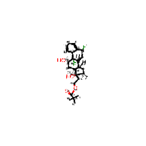 C[C@@H]1C[C@H]2[C@@H]3C[C@H](F)C4=CCC=C[C@]4(C)[C@@]3(F)[C@@H](O)C[C@]2(C)[C@@]1(O)CCOC(=O)C(C)(C)C